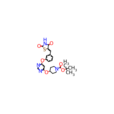 CC(C)(C)OC(=O)N1CCC(Oc2cc(Oc3cccc(/C=C4\SC(=O)NC4=O)c3)ncn2)CC1